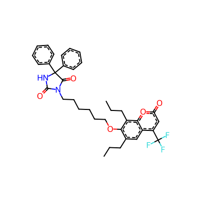 CCCc1cc2c(C(F)(F)F)cc(=O)oc2c(CCC)c1OCCCCCCN1C(=O)NC(c2ccccc2)(c2ccccc2)C1=O